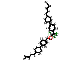 CC=CCCC1CCC(c2ccc(COC(F)(F)C(F)c3ccc(C4CCC(CCC=CC)CC4)cc3)cc2)CC1